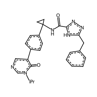 CC(C)n1cncc(-c2ccc(C3(NC(=O)c4nnc(Cc5ccccc5)[nH]4)CC3)cc2)c1=O